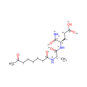 CC(=O)CCCCCC(=O)N[C@@H](C)C(=O)N[C@H](CCC(=O)O)C(N)=O